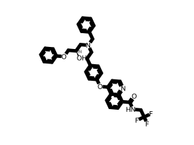 O=C(NCC(F)(F)F)c1cccc2c(Oc3ccc(CCN(Cc4ccccc4)C[C@H](O)COc4ccccc4)cc3)ccnc12